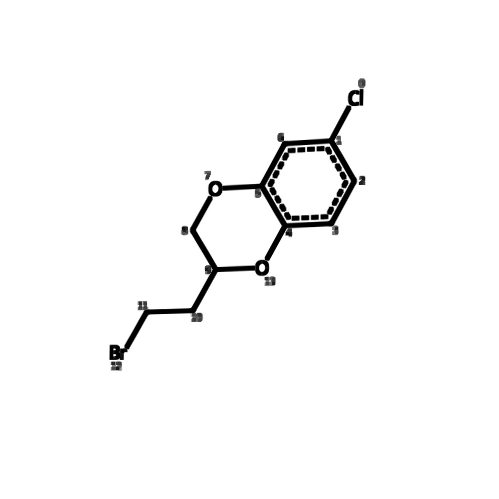 Clc1ccc2c(c1)OCC(CCBr)O2